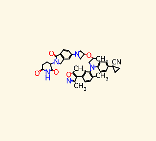 Cc1ccc(-c2c(C)noc2C)cc1N(CC(C)OC1CN(c2ccc3c(c2)CN(C2CCC(=O)NC2=O)C3=O)C1)c1ccc(C2(C#N)CC2)cc1